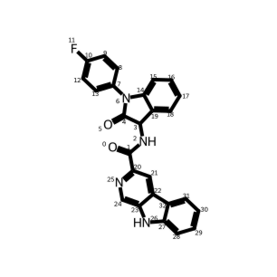 O=C(NC1C(=O)N(c2ccc(F)cc2)c2ccccc21)c1cc2c(cn1)[nH]c1ccccc12